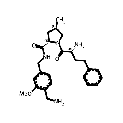 COc1cc(CNC(=O)[C@@H]2C[C@@H](C)CN2C(=O)[C@H](N)CCc2ccccc2)ccc1CN